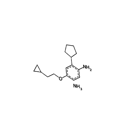 N.Nc1ccc(OCCC2CC2)cc1C1CCCC1